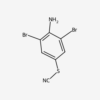 N#CSc1cc(Br)c(N)c(Br)c1